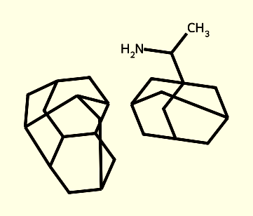 C1C2CC3C4CC5CC(C14)C(C2)C3C5.CC(N)C12CC3CC(CC(C3)C1)C2